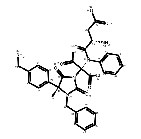 CC(=O)[C@@](C(=O)O)(N1C(=O)N(Cc2ccccc2)[C@](C)(c2ccc(CN)cc2)C1=O)N(C(=O)[C@@H](N)CC(=O)O)c1ccccc1